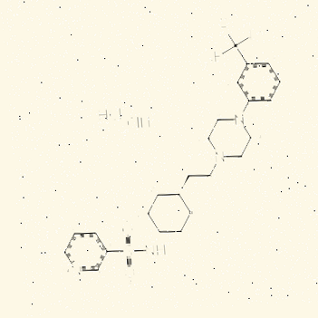 Cl.Cl.O=S(=O)(N[C@H]1CC[C@H](CCN2CCN(c3cccc(C(F)(F)F)c3)CC2)CC1)c1cccnc1